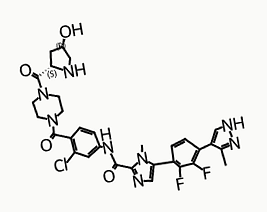 Cc1n[nH]cc1-c1ccc(-c2cnc(C(=O)Nc3ccc(C(=O)N4CCN(C(=O)[C@@H]5C[C@@H](O)CN5)CC4)c(Cl)c3)n2C)c(F)c1F